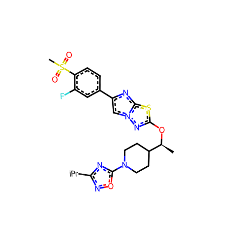 CC(C)c1noc(N2CCC([C@H](C)Oc3nn4cc(-c5ccc(S(C)(=O)=O)c(F)c5)nc4s3)CC2)n1